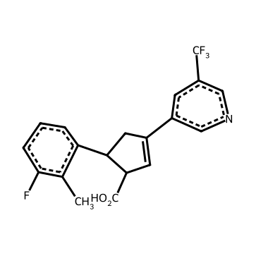 Cc1c(F)cccc1C1CC(c2cncc(C(F)(F)F)c2)=CC1C(=O)O